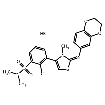 Br.CN(C)S(=O)(=O)c1cccc(-c2cs/c(=N/c3ccc4c(c3)OCCO4)n2C)c1Cl